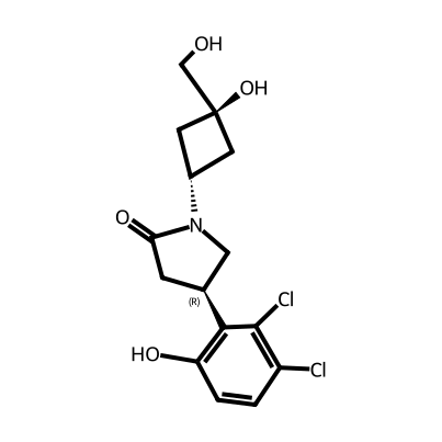 O=C1C[C@H](c2c(O)ccc(Cl)c2Cl)CN1[C@H]1C[C@@](O)(CO)C1